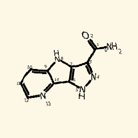 NC(=O)c1n[nH]c2c1[nH]c1cccnc12